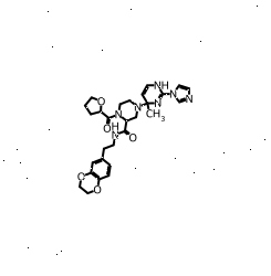 CC1(N2CCN(C(=O)C3CCCO3)C(C(=O)NCCc3ccc4c(c3)OCCO4)C2)C=CNC(n2ccnc2)=N1